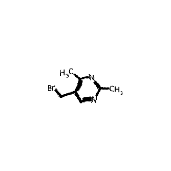 Cc1ncc(CBr)c(C)n1